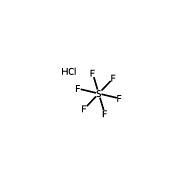 Cl.FS(F)(F)(F)(F)F